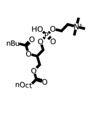 CCCCCCCCC(=O)OCC(COP(=O)(O)OCC[N+](C)(C)C)OC(=O)CCCC